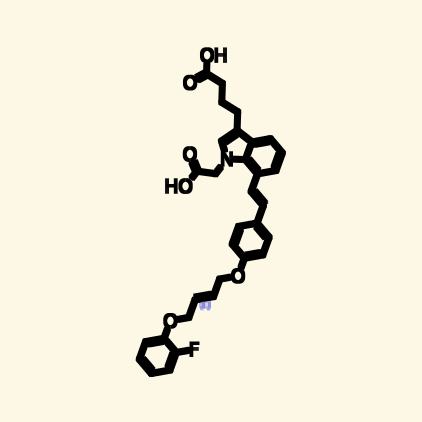 O=C(O)CCCc1cn(CC(=O)O)c2c(C=Cc3ccc(OC/C=C/COc4ccccc4F)cc3)cccc12